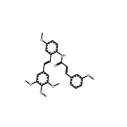 COc1cccc(/C=C/C(=O)Nc2ccc(OC)cc2/C=C/c2cc(OC)c(OC)c(OC)c2)c1